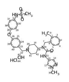 Cc1ccccc1CN(C(=O)Nc1cnn(C)c1)C1CCN(Cc2ccc(Oc3ccc(NS(C)(=O)=O)cc3)cc2)CC1.Cl.Cl